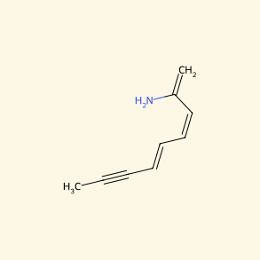 C=C(N)/C=C\C=C\C#CC